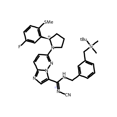 CSc1ccc(F)cc1[C@H]1CCCN1c1ccc2ncc(/C(=N/C#N)NCc3cccc(C[Si](C)(C)C(C)(C)C)c3)n2n1